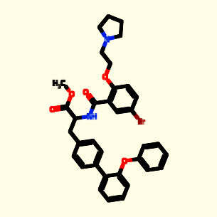 COC(=O)C(Cc1ccc(-c2ccccc2Oc2ccccc2)cc1)NC(=O)c1cc(Br)ccc1OCCN1CCCC1